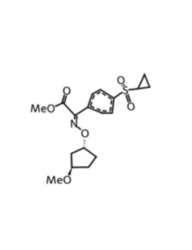 COC(=O)/C(=N/O[C@@H]1CC[C@@H](OC)C1)c1ccc(S(=O)(=O)C2CC2)cc1